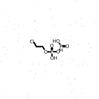 O=[PH](O)OP(=O)(O)OCCCl